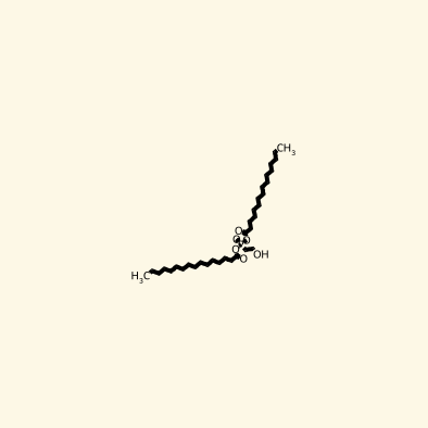 CCCCCCCCCCCCCCCC(=O)OP(=O)(CCO)OC(=O)CCCCCCCCCCCCCCC